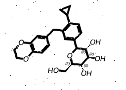 OC[C@H]1OC(c2ccc(C3CC3)c(Cc3ccc4c(c3)OCCO4)c2)[C@H](O)[C@@H](O)[C@@H]1O